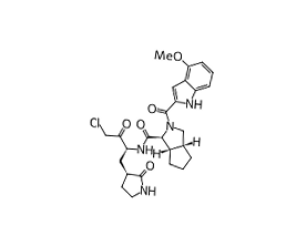 COc1cccc2[nH]c(C(=O)N3C[C@@H]4CCC[C@@H]4[C@H]3C(=O)N[C@@H](C[C@@H]3CCNC3=O)C(=O)CCl)cc12